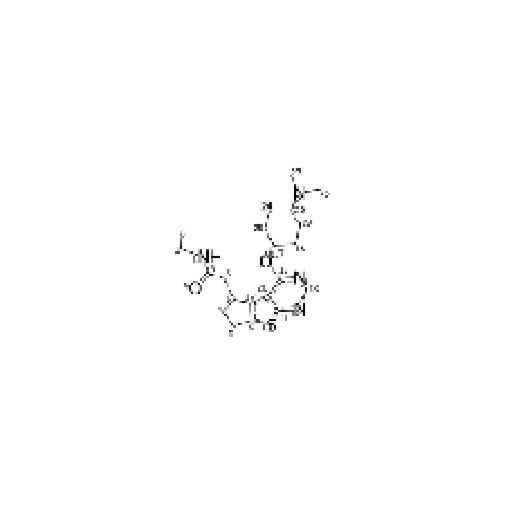 CCNC(=O)CC1CCc2sc3ncnc(O[C@H]4CC[C@H](N(C)C)CC4)c3c21